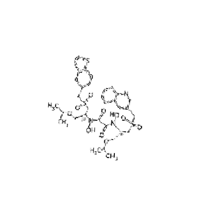 CC(C)OC[C@@H](CS(=O)(=O)Cc1cnc2ccccc2c1)N(O)C(=O)C(=O)N(O)[C@@H](COC(C)C)CS(=O)(=O)Cc1ccc2sccc2c1